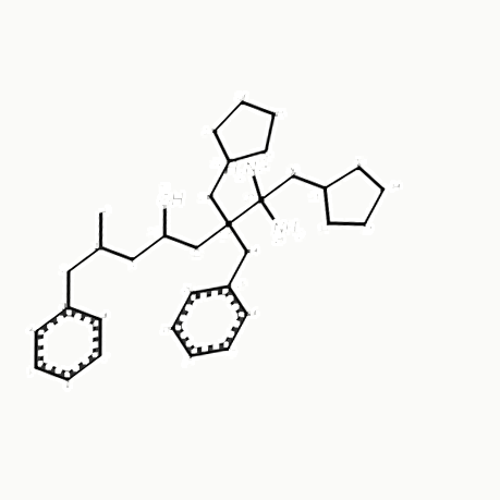 CC(Cc1ccccc1)CC(O)CC(Cc1ccccc1)(CC1CCCC1)C(N)(N)CC1CCCC1